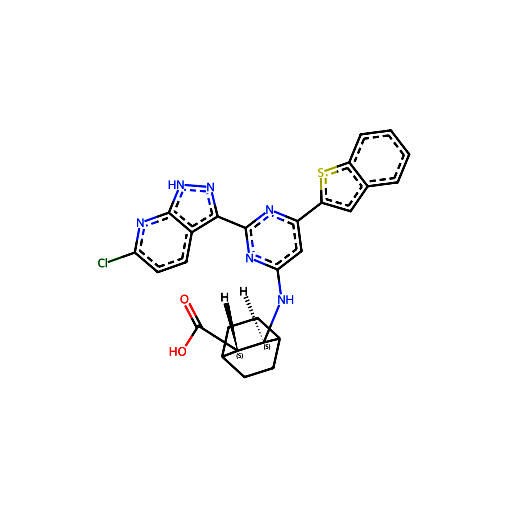 O=C(O)[C@H]1C2CCC(CC2)[C@@H]1Nc1cc(-c2cc3ccccc3s2)nc(-c2n[nH]c3nc(Cl)ccc23)n1